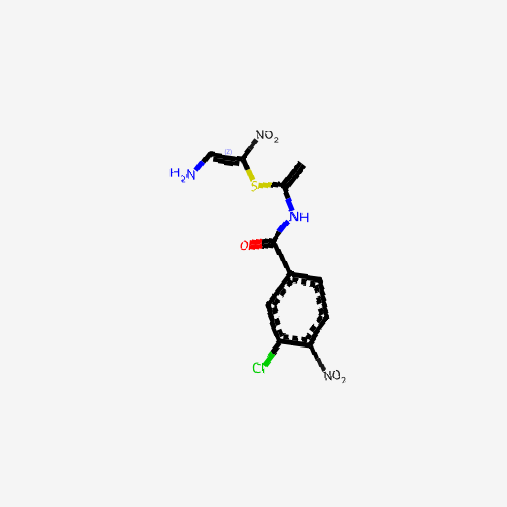 C=C(NC(=O)c1ccc([N+](=O)[O-])c(Cl)c1)S/C(=C\N)[N+](=O)[O-]